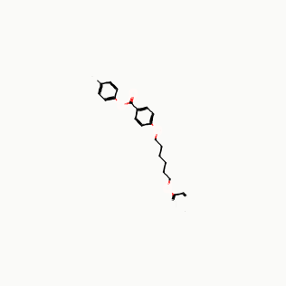 C=CC(=C)OCCCCCCOc1ccc(C(=O)Oc2ccc(CCC)cc2)cc1